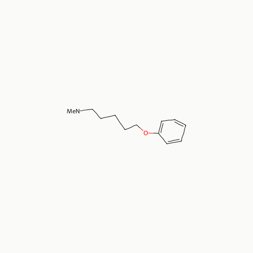 CNCCCCCOc1ccccc1